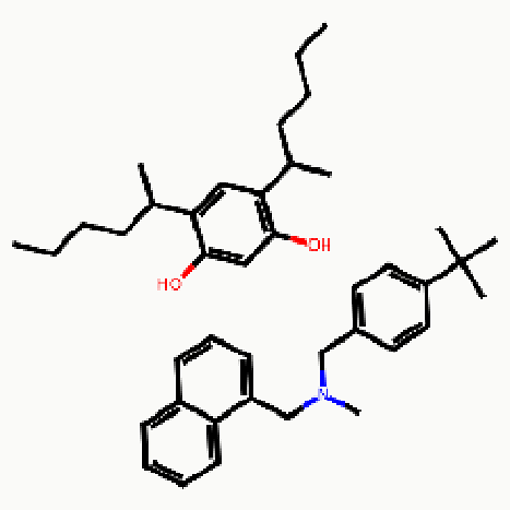 CCCCC(C)c1cc(C(C)CCCC)c(O)cc1O.CN(Cc1ccc(C(C)(C)C)cc1)Cc1cccc2ccccc12